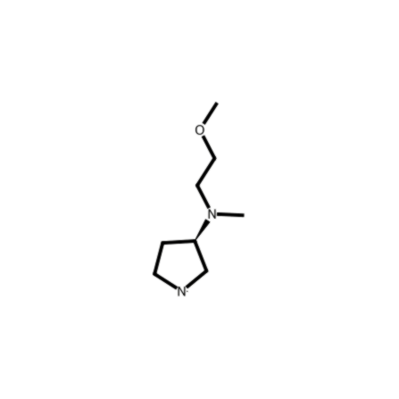 COCCN(C)[C@@H]1CC[N]C1